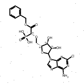 Nc1nc(Cl)nc2c1ncn2C1O[C@H](CO[C@@H](C(=O)OCc2ccccc2)P(=O)(O)O)[C@@H](O)[C@H]1O